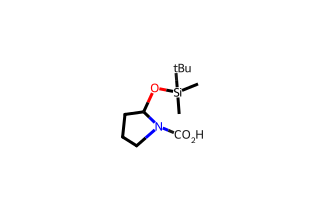 CC(C)(C)[Si](C)(C)OC1CCCN1C(=O)O